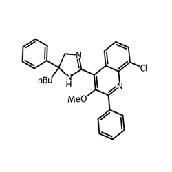 CCCCC1(c2ccccc2)CN=C(c2c(OC)c(-c3ccccc3)nc3c(Cl)cccc23)N1